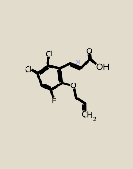 C=CCOc1c(F)cc(Cl)c(Cl)c1/C=C/C(=O)O